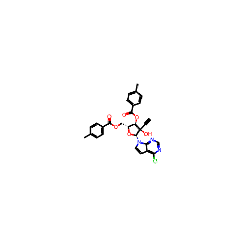 C#C[C@@]1(O)[C@H](OC(=O)c2ccc(C)cc2)[C@@H](COC(=O)c2ccc(C)cc2)O[C@H]1n1ccc2c(Cl)ncnc21